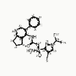 N[S@@](=O)(=NC(=O)Nc1c(-c2ccccc2)cnc2c1CCC2)c1nn(C(F)F)cc1F